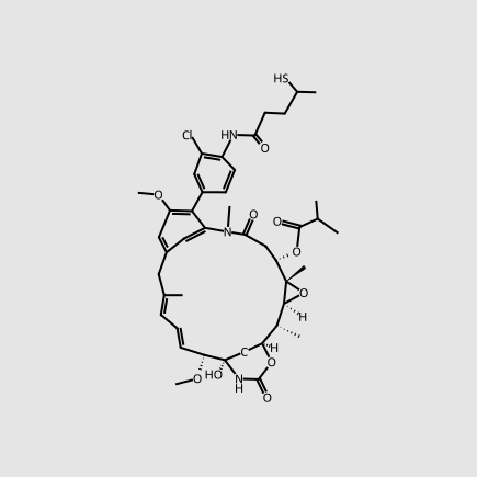 COc1cc2cc(c1-c1ccc(NC(=O)CCC(C)S)c(Cl)c1)N(C)C(=O)C[C@H](OC(=O)C(C)C)[C@]1(C)O[C@H]1[C@H](C)[C@@H]1C[C@@](O)(NC(=O)O1)[C@H](OC)/C=C/C=C(\C)C2